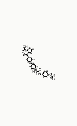 O=C(Nc1ccc(OC(F)(F)F)cc1)Nc1ccc(-c2ccc(C(=O)[C@@H]3CCC[C@H]3C(=O)O)cc2)cc1